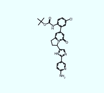 CC(C)(C)OC(=O)Nc1ccc(Cl)cc1-c1cc2n(c(=O)c1)C(c1cnc(-c3ccc(N)nc3)[nH]1)CC2